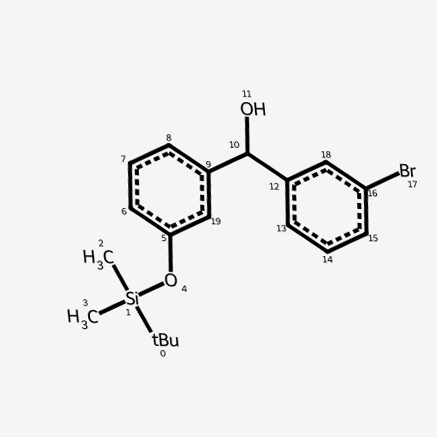 CC(C)(C)[Si](C)(C)Oc1cccc(C(O)c2cccc(Br)c2)c1